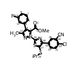 COC(=O)c1c(-c2cccc(F)c2)c(C)nn1-c1nc(-c2ccc(Cl)c(C#N)c2)c(SC(C)C)s1